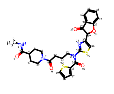 CNC(=O)C1CCN(C(=O)CCCN(C(=O)c2cccs2)c2nc(C3Oc4ccccc4C3=O)cs2)CC1